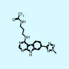 Cn1nnc(-c2ccc3c(c2)[nH]c2ncnc(NCCCNC(=O)C(F)(F)F)c23)n1